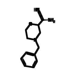 N=C(N)C1CN(Cc2ccccc2)CCO1